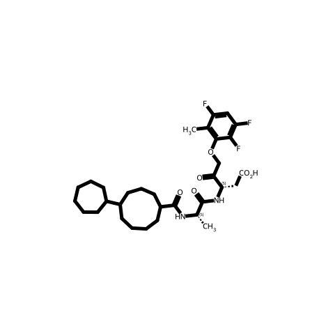 Cc1c(F)cc(F)c(F)c1OCC(=O)[C@H](CC(=O)O)NC(=O)[C@H](C)NC(=O)C1CCCCC(C2CCCCCC2)CCC1